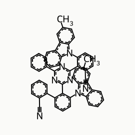 Cc1ccc2c(c1)c1ccccc1n2-c1cccc(C#N)c1-c1nc(-c2ccccc2)nc(-c2c(-c3ccccc3C#N)cccc2-n2c3ccccc3c3cc(C)ccc32)n1